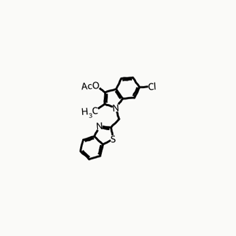 CC(=O)Oc1c(C)n(Cc2nc3ccccc3s2)c2cc(Cl)ccc12